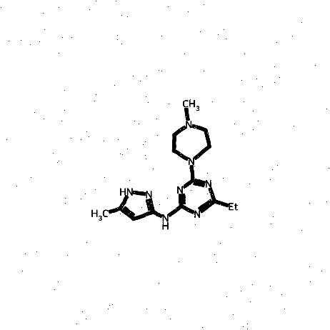 CCc1nc(Nc2cc(C)[nH]n2)nc(N2CCN(C)CC2)n1